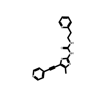 Cc1nc(NC(=O)NCCc2ccccn2)sc1C#Cc1ccncc1